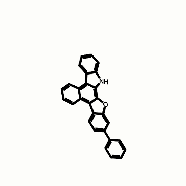 c1ccc(-c2ccc3c(c2)oc2c4[nH]c5ccccc5c4c4ccccc4c32)cc1